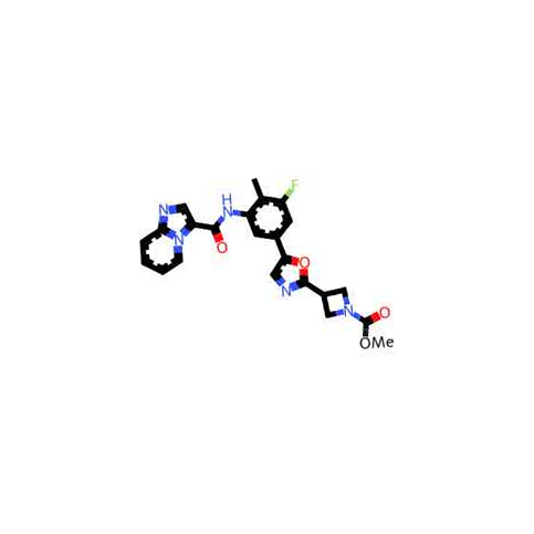 COC(=O)N1CC(c2ncc(-c3cc(F)c(C)c(NC(=O)c4cnc5ccccn45)c3)o2)C1